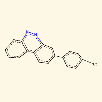 CCc1ccc(-c2ccc3c(c2)nnc2ccccc23)cc1